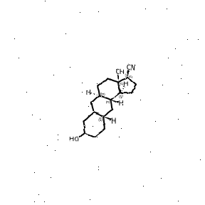 C[C@]12CC[C@@H]3CC4CC(O)CC[C@H]4C[C@H]3[C@@H]1CC[C@@H]2C#N